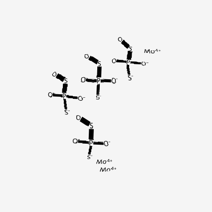 O=S=P([O-])([O-])[S-].O=S=P([O-])([O-])[S-].O=S=P([O-])([O-])[S-].O=S=P([O-])([O-])[S-].[Mo+4].[Mo+4].[Mo+4]